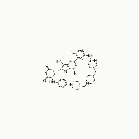 Cc1nc2c(F)cc(-c3nc(Nc4ccc(CC5CCN(CC6CCN(c7ccc(NC8CCC(=O)NC8=O)cc7)CC6)CC5)cn4)ncc3F)cc2n1C(C)C